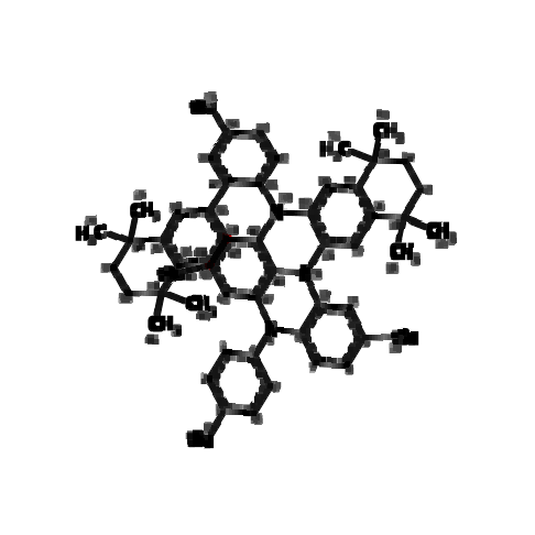 CC(C)(C)c1ccc(N2c3ccc(C(C)(C)C)cc3B3c4cc5c(cc4N(c4ccc(C(C)(C)C)cc4-c4ccc6c(c4)C(C)(C)CCC6(C)C)c4cc(C(C)(C)C)cc2c43)C(C)(C)CCC5(C)C)cc1